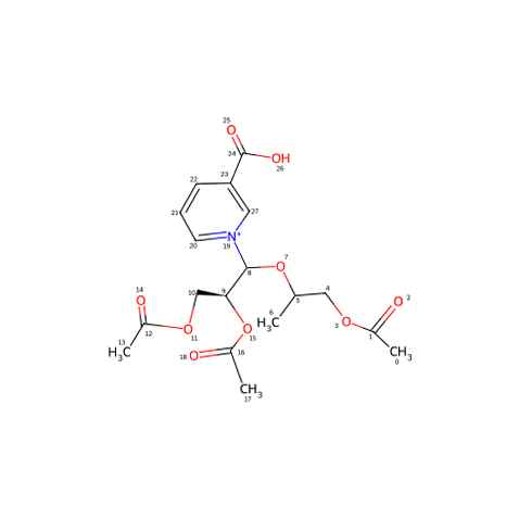 CC(=O)OCC(C)OC([C@H](COC(C)=O)OC(C)=O)[n+]1cccc(C(=O)O)c1